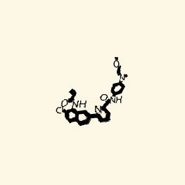 C=CC(=O)Nc1c(Cl)ccc2ccc(-c3cccc(C(=O)NC4CCC(N(C)CCOC)CC4)n3)cc12